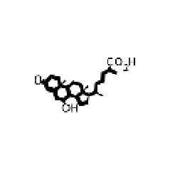 C[C@H](CCC[C@@H](C)[C@H]1CCC2C3C(CC[C@@]21C)[C@@]1(C)CCC(=O)C=C1C[C@H]3O)C(=O)O